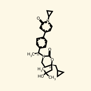 C[C@@H](c1ccc(-c2ccn(C3CC3)c(=O)c2)cc1)N1CC[C@@](CC2CC2)(CC(C)(C)O)OC1=O